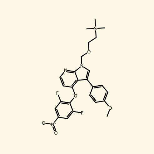 COc1ccc(-c2cn(COCC[Si](C)(C)C)c3nccc(Oc4c(F)cc([N+](=O)[O-])cc4F)c23)cc1